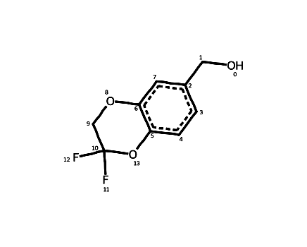 OCc1ccc2c(c1)OCC(F)(F)O2